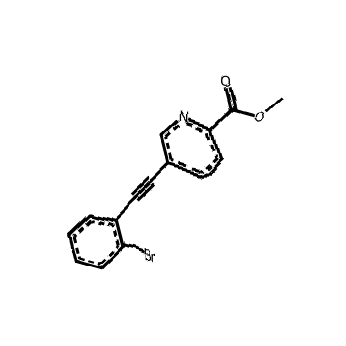 COC(=O)c1ccc(C#Cc2ccccc2Br)cn1